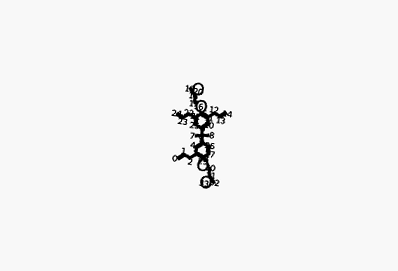 C=CCc1cc(C(C)(C)c2cc(CC=C)c(OCC3CO3)c(CC=C)c2)ccc1OCC1CO1